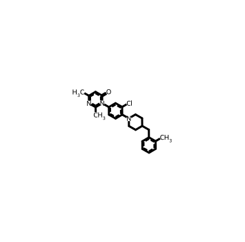 Cc1cc(=O)n(-c2ccc(N3CCC(Cc4ccccc4C)CC3)c(Cl)c2)c(C)n1